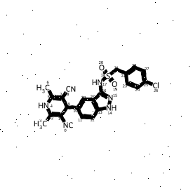 [C-]#[N+]C1=C(C)NC(C)=C(C#N)C1c1ccc2[nH]nc(NS(=O)(=O)Cc3ccc(Cl)cc3)c2c1